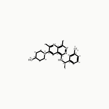 Cc1nc2c(C)nnc(N[C@H](C)c3cccc(C(F)(F)F)c3)c2cc1N1CCC(O)CC1